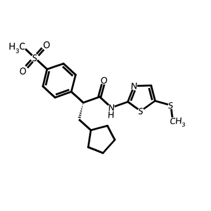 CSc1cnc(NC(=O)[C@H](CC2CCCC2)c2ccc(S(C)(=O)=O)cc2)s1